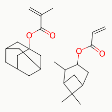 C=C(C)C(=O)OC12CC3CC(CC(C3)C1)C2.C=CC(=O)OC1CC2CC(C1C)C2(C)C